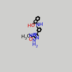 CNC(=O)c1nc(-c2cccc(CN[C@H]3c4ccccc4C[C@H]3O)c2)cnc1N